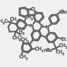 CCCCC(C)(C)c1cc2c(cc1CC)N(c1ccc(C(C)(C)C)cc1)B1c3ccc4oc5ccccc5c4c3N(c3cc4c(cc3C)C(C)(C)CCC4(C)C)c3cc(-c4c(C)cc(C)cc4C)cc-2c31